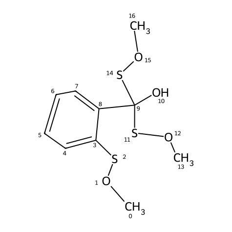 COSc1ccccc1C(O)(SOC)SOC